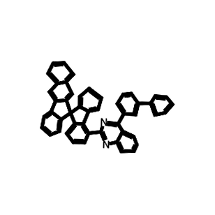 c1ccc(-c2cccc(-c3nc(-c4cccc5c4-c4ccccc4C54c5ccccc5-c5cc6ccccc6cc54)nc4ccccc34)c2)cc1